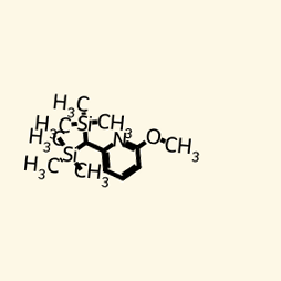 COc1cccc(C([Si](C)(C)C)[Si](C)(C)C)n1